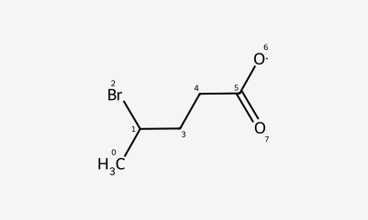 CC(Br)CCC([O])=O